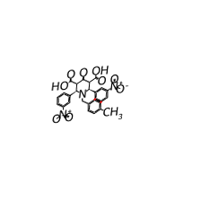 Cc1ccc(CN2[C@H](c3cccc([N+](=O)[O-])c3)C(C(=O)O)C(=O)C(C(=O)O)[C@@H]2c2cccc([N+](=O)[O-])c2)cc1